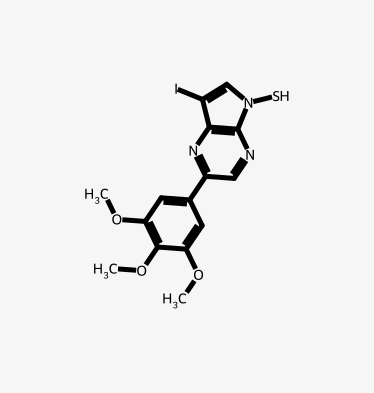 COc1cc(-c2cnc3c(n2)c(I)cn3S)cc(OC)c1OC